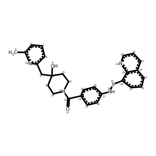 Cc1cccc(CC2(O)CCN(C(=O)c3ccc(NSc4cccc5cccnc45)cc3)CC2)n1